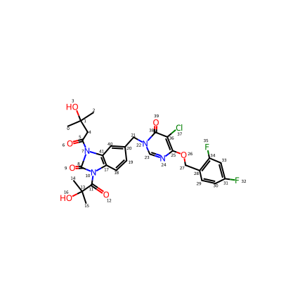 CC(C)(O)CC(=O)n1c(=O)n(C(=O)C(C)(C)O)c2ccc(Cn3cnc(OCc4ccc(F)cc4F)c(Cl)c3=O)cc21